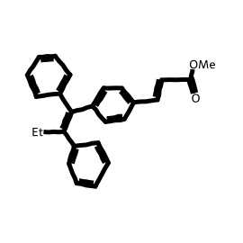 CC/C(=C(\c1ccccc1)c1ccc(/C=C/C(=O)OC)cc1)c1ccccc1